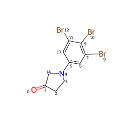 O=C1CCN(c2cc(Br)c(Br)c(Br)c2)C1